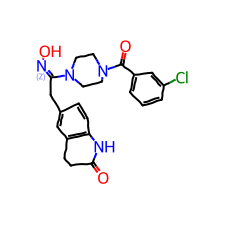 O=C1CCc2cc(C/C(=N/O)N3CCN(C(=O)c4cccc(Cl)c4)CC3)ccc2N1